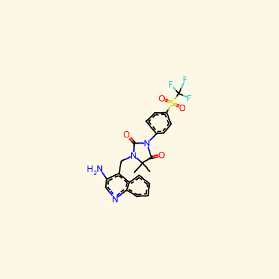 CC1(C)C(=O)N(c2ccc(S(=O)(=O)C(F)(F)F)cc2)C(=O)N1Cc1c(N)cnc2ccccc12